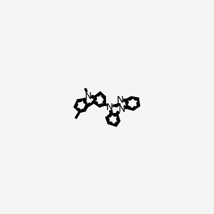 Cc1ccc2c(c1)c1cc(-n3c4ccccc4n4c5ccccc5nc34)ccc1n2C